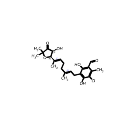 C/C(=C\Cc1c(O)c(Cl)c(C)c(C=O)c1O)CC/C=C(\C)[C@H]1OC(C)(C)C(=O)[C@H]1O